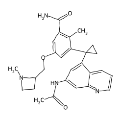 CC(=O)Nc1cc(C2(c3cc(OCC4CCN4C)cc(C(N)=O)c3C)CC2)c2cccnc2c1